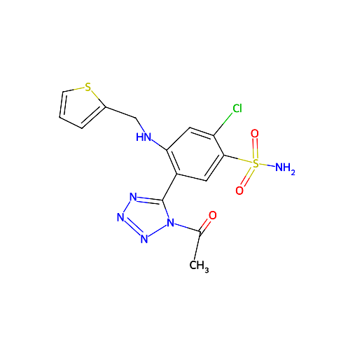 CC(=O)n1nnnc1-c1cc(S(N)(=O)=O)c(Cl)cc1NCc1cccs1